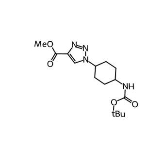 COC(=O)c1cn(C2CCC(NC(=O)OC(C)(C)C)CC2)nn1